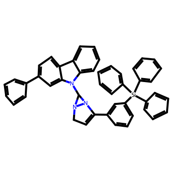 C1=C(c2cccc([Si](c3ccccc3)(c3ccccc3)c3ccccc3)c2)N2C(n3c4ccccc4c4ccc(-c5ccccc5)cc43)N2C1